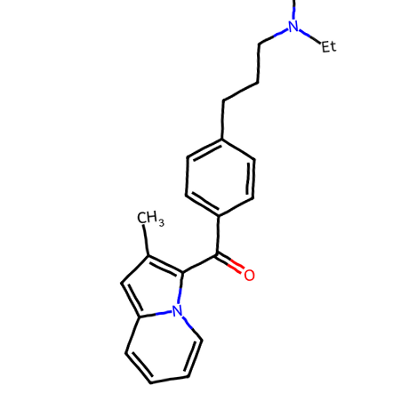 CCCN(CC)CCCc1ccc(C(=O)c2c(C)cc3ccccn23)cc1